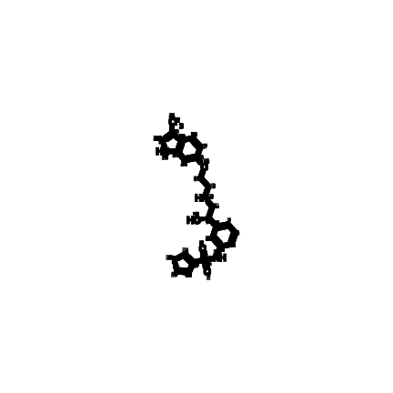 O=S(=O)(Nc1cccc([C@@H](O)CNCCOc2ccc3c(C(F)(F)F)n[nH]c3c2)c1)c1ccsc1